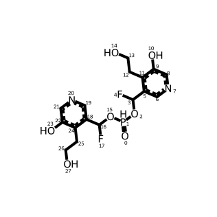 O=[PH](OC(F)c1cncc(O)c1CCO)OC(F)c1cncc(O)c1CCO